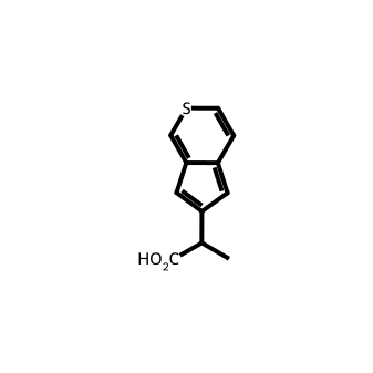 CC(C(=O)O)c1cc2ccscc-2c1